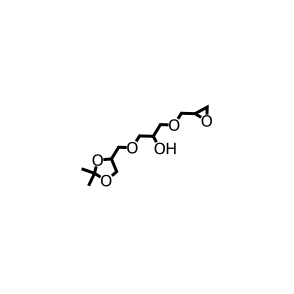 CC1(C)OCC(COCC(O)COCC2CO2)O1